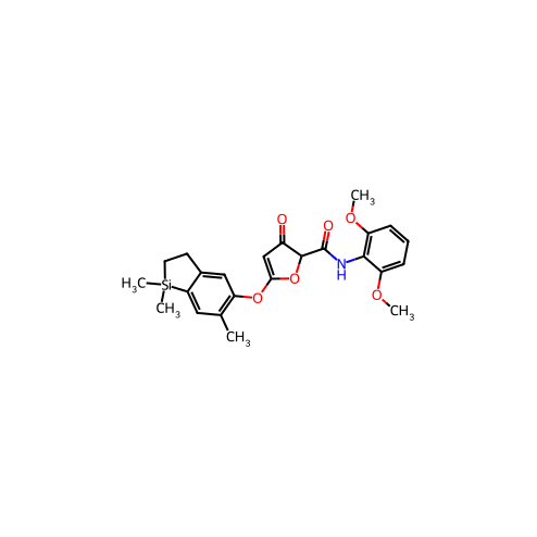 COc1cccc(OC)c1NC(=O)C1OC(Oc2cc3c(cc2C)[Si](C)(C)CC3)=CC1=O